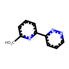 O=C(O)c1cccc(-c2cccnn2)n1